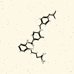 Cc1cc(C(=O)Nc2ccccc2OCCCC(=O)O)ccc1OCc1ccc(CC(C)C)cc1